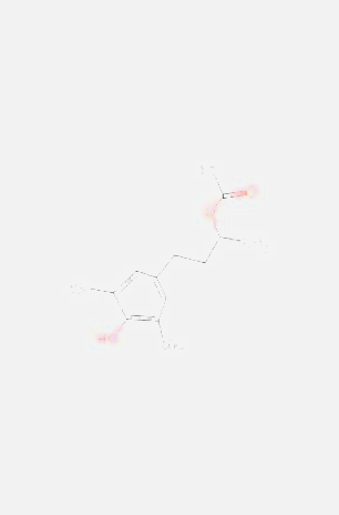 CCC(=O)OC(C)CCc1cc(C(C)(C)C)c(O)c(C(C)(C)C)c1